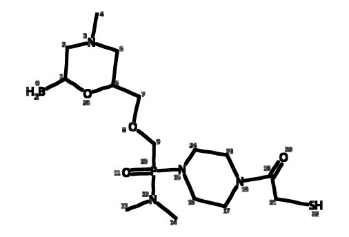 BC1CN(C)CC(COCP(=O)(N(C)C)N2CCN(C(=O)CS)CC2)O1